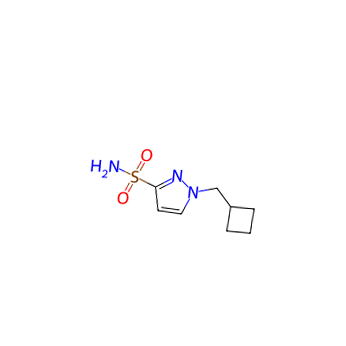 NS(=O)(=O)c1ccn(CC2CCC2)n1